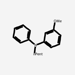 CCCCCN(c1cc[c]cc1)c1cccc(OC)c1